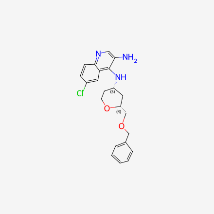 Nc1cnc2ccc(Cl)cc2c1N[C@H]1CCO[C@@H](COCc2ccccc2)C1